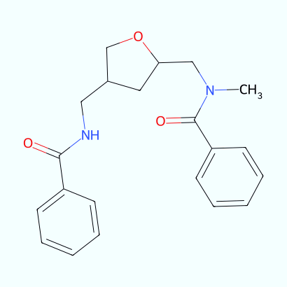 CN(CC1CC(CNC(=O)c2ccccc2)CO1)C(=O)c1ccccc1